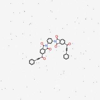 O=C(C#Cc1ccccc1)c1ccc2c(c1)C(=O)N(c1cccc(N3C(=O)c4ccc(C(=O)C#Cc5ccccc5)cc4C3=O)c1)C2=O